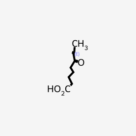 C/C=C/C(=O)CCCCC(=O)O